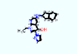 CCN1C=C(n2cccn2)C(O)c2cc(NC3Cc4ccccc4C3)cnc21